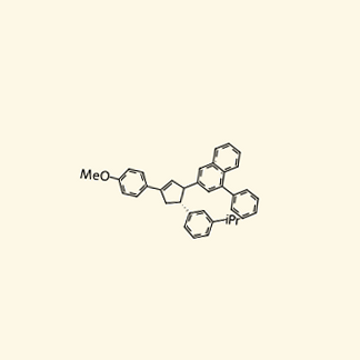 COc1ccc(C2=CC(c3cc(-c4ccccc4)c4ccccc4c3)[C@H](c3cccc(C(C)C)c3)C2)cc1